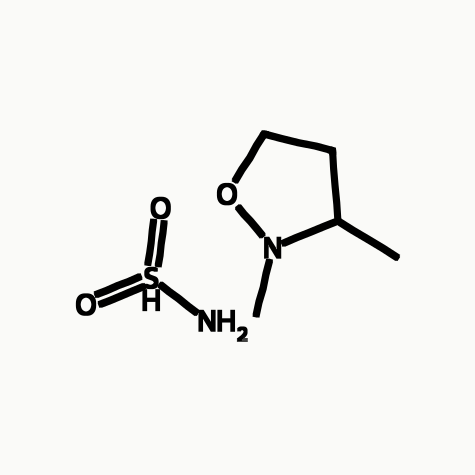 CC1CCON1C.N[SH](=O)=O